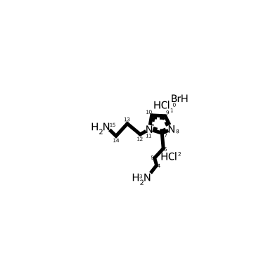 Br.Cl.Cl.NCCCc1nccn1CCCN